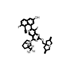 [2H]C([2H])([2H])C12CCC(CN(c3nc(OCC45CC(=C)CN4CC(=C)C5)nc4c(F)c(-c5cc(O)cc6ccc(F)c(C#C)c56)ncc34)C1)N2